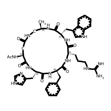 CC(=O)N[C@H]1CC(=O)NC[C@@H](C)NC(=O)[C@H](Cc2c[nH]c3ccccc23)NC(=O)[C@H](CCCNC(=N)N)NC(=O)[C@@H](Cc2ccccc2)NC(=O)[C@H](Cc2c[nH]cn2)NC1=O